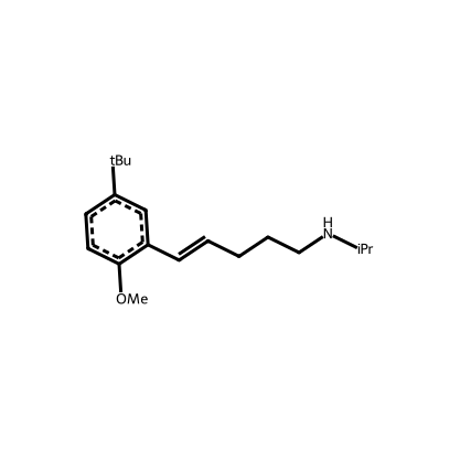 COc1ccc(C(C)(C)C)cc1/C=C/CCCNC(C)C